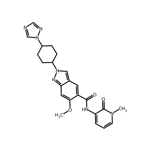 COc1cc2nn(C3CCC(n4cncn4)CC3)cc2cc1C(=O)Nc1cccn(C)c1=O